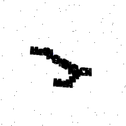 CN[C@H]1C[C@H](n2cc(C#N)c3ccc(N4CCN(c5ccc(/C(C)=N/OC)cc5)CC4)nc32)C1